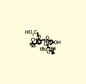 Cc1ncsc1-c1ccc(CNC(=O)[C@@H]2C[C@@H](O)CN2C(=O)C(NC(=O)C2(F)CC2)C(C)(C)C)c(OCCC(=O)O)c1